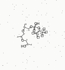 CC(O)COC(C)COC(C)COP(=O)(O)OC(=C(Cl)Cl)C(Cl)(Cl)Cl